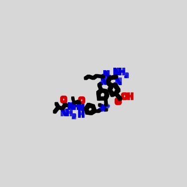 CCCCc1nc2c(N)nc3cc(C(=O)O)ccc3c2n1Cc1ccc(C[N+](C)(C)Cc2ccc(NC(=O)[C@H](C)NC(=O)[C@@H](N)C(C)C)cc2)cc1